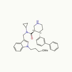 COCCCn1cc(CN(C(=O)[C@H]2CNCC[C@@H]2c2cccc(-c3ccccc3)c2)C2CC2)c2ccccc21